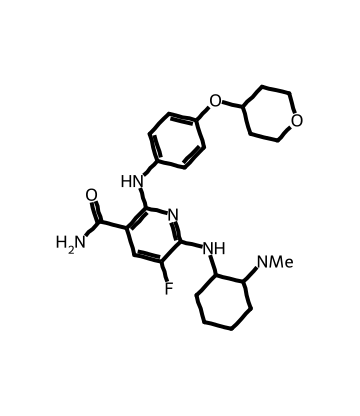 CNC1CCCCC1Nc1nc(Nc2ccc(OC3CCOCC3)cc2)c(C(N)=O)cc1F